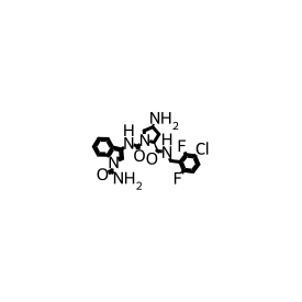 NC(=O)n1cc(NC(=O)N2C[C@@H](N)C[C@H]2C(=O)NCc2c(F)ccc(Cl)c2F)c2ccccc21